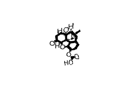 CN1CC[C@]23c4c5ccc(OC(=O)O)c4O[C@H]2C(=O)CC[C@@]3(O)[C@H]1C5